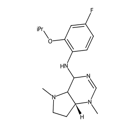 CC(C)Oc1cc(F)ccc1NC1N=CN(C)[C@@H]2CCN(C)C12